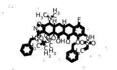 C=CS(=O)(=O)Nc1cc(F)c2c(c1OCc1ccccc1)C(=O)C1=C(O)[C@]3(O[Si](C)(C)C(C)(C)C)C(=O)c4c(OCc5ccccc5)noc4[C@@H](N(C)C)[C@@H]3C[C@@H]1C2